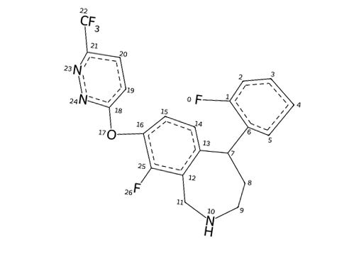 Fc1ccccc1C1CCNCc2c1ccc(Oc1ccc(C(F)(F)F)nn1)c2F